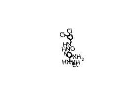 CCNC(=N)c1cnc(NC(=O)NCc2ccc(Cl)c(Cl)c2)cc1N